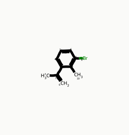 C=C(C)c1cccc(Br)c1C